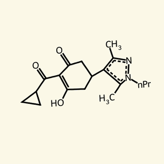 CCCn1nc(C)c(C2CC(=O)C(C(=O)C3CC3)=C(O)C2)c1C